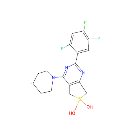 OS1(O)Cc2nc(-c3cc(F)c(Cl)cc3F)nc(N3CC[CH]CC3)c2C1